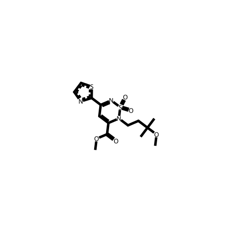 COC(=O)C1=CC(c2nccs2)=NS(=O)(=O)N1CCC(C)(C)OC